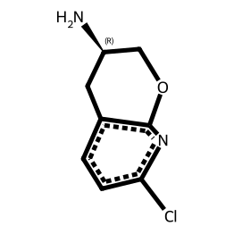 N[C@H]1COc2nc(Cl)ccc2C1